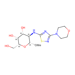 CO[C@@H]1O[C@H](CO)[C@H](O)[C@H](O)[C@H]1Nc1nc(N2CCOCC2)ns1